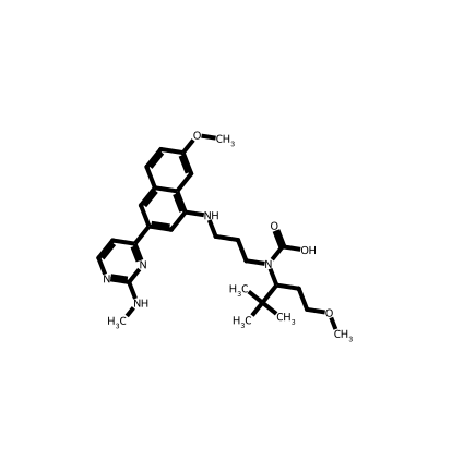 CNc1nccc(-c2cc(NCCCN(C(=O)O)C(CCOC)C(C)(C)C)c3cc(OC)ccc3c2)n1